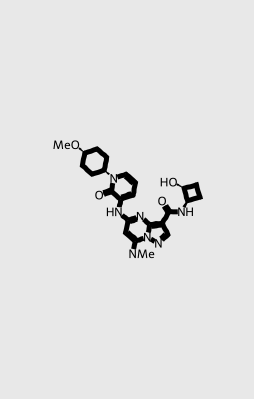 CNc1cc(Nc2cccn([C@H]3CC[C@@H](OC)CC3)c2=O)nc2c(C(=O)N[C@@H]3CC[C@H]3O)cnn12